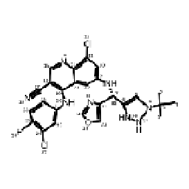 CC(C)(C)N1C=C([C@@H](Nc2cc(Cl)c3ncc(C#N)c(Nc4ccc(F)c(Cl)c4)c3c2)c2cocn2)NN1